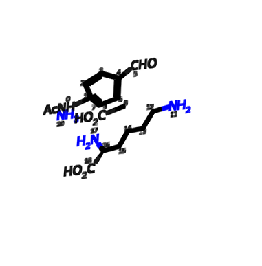 CC(=O)Nc1ccc(C=O)cc1.CC(=O)O.N.NCCCC[C@H](N)C(=O)O